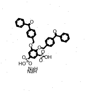 O=C(c1ccccc1)c1ccc(COc2cc(S(=O)(=O)O)cc(S(=O)(=O)O)c2OCc2ccc(C(=O)c3ccccc3)cc2)cc1.[NaH].[NaH]